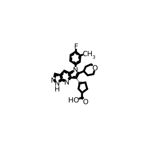 Cc1cc(-n2c(C3CCOCC3)c([C@@H]3CCC(C(=O)O)C3)c3nc4[nH]ncc4cc32)ccc1F